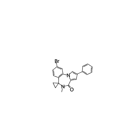 CN1C(=O)c2cc(-c3ccccc3)cn2-c2cc(Br)ccc2C12CC2